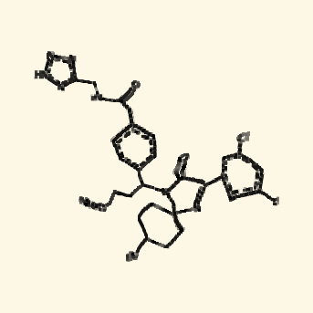 COCCC(c1ccc(C(=O)NCc2nn[nH]n2)cc1)N1C(=O)C(c2cc(Cl)cc(Cl)c2)=NC12CCC(C(C)(C)C)CC2